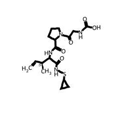 C=C[C@H](C)C(NC(=O)C1CCCN1C(=O)CNC(=O)O)C(=O)NSC1CC1